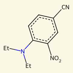 CCN(CC)c1ccc(C#N)cc1[N+](=O)[O-]